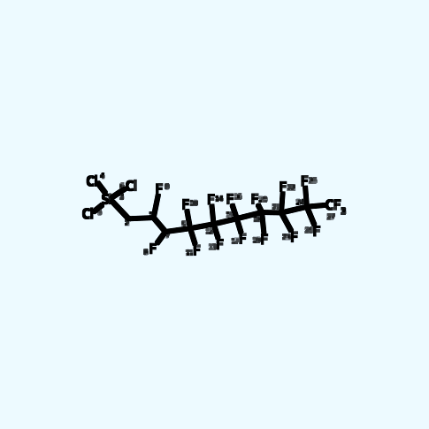 FC(C[Si](Cl)(Cl)Cl)C(F)C(F)(F)C(F)(F)C(F)(F)C(F)(F)C(F)(F)C(F)(F)C(F)(F)F